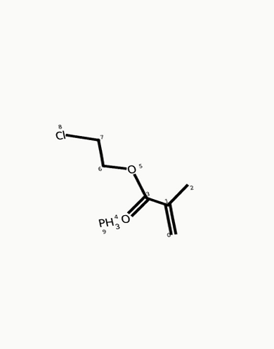 C=C(C)C(=O)OCCCl.P